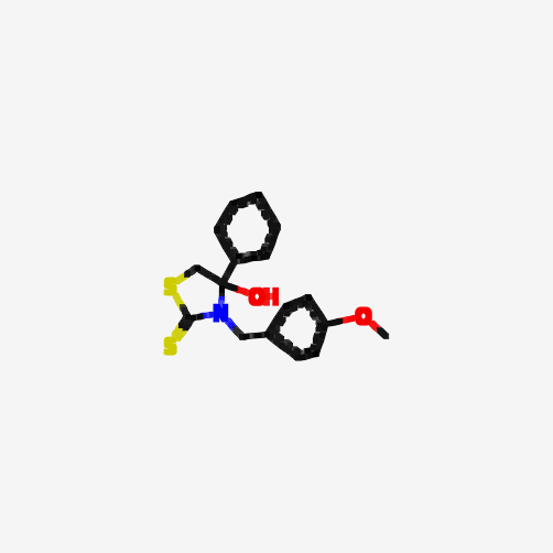 COc1ccc(CN2C(=S)SCC2(O)c2ccccc2)cc1